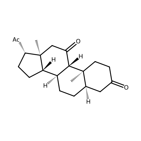 CC(=O)[C@H]1CC[C@H]2[C@@H]3CC[C@@H]4CC(=O)CC[C@]4(C)[C@H]3C(=O)C[C@]12C